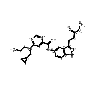 CCCN(CC1CC1)c1cc(C(=O)Nc2ccc3[nH]nc(CCC(=O)OC)c3c2)ncn1